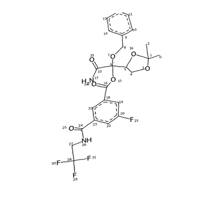 CC1(C)OCC(C(OCc2ccccc2)(OC(=O)c2cc(F)cc(C(=O)NCC(F)(F)F)c2)C(N)=O)O1